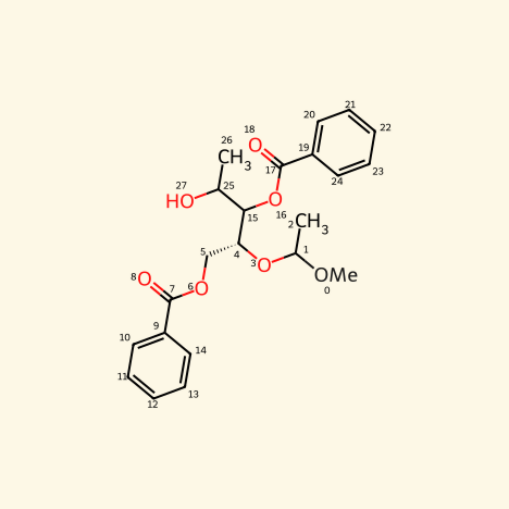 COC(C)O[C@H](COC(=O)c1ccccc1)C(OC(=O)c1ccccc1)C(C)O